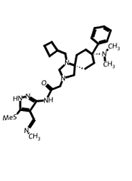 C/N=C/c1c(NC(=O)CN2CN(CC3CCC3)[C@]3(CC[C@@](c4ccccc4)(N(C)C)CC3)C2)n[nH]c1SC